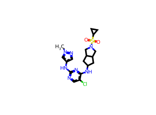 Cn1cc(Nc2ncc(Cl)c(NC3CC4CN(S(=O)(=O)C5CC5)CC4C3)n2)cn1